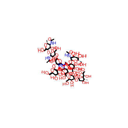 CC(=O)NC1C(O)[C@H](O)[C@H](CO)O[C@H]1OC1[C@@H](OCC2O[C@@H](O[C@@H]3C(CO)O[C@@H](O[C@@H]4C(CO)O[C@@H](C)C(NC(C)=O)[C@H]4O)C(NC(C)=O)[C@H]3O)C(O)[C@@H](O[C@H]3OC(CO)[C@@H](O)C(O)C3O[C@@H]3OC(CO)[C@@H](O[C@@H]4OC(CO)[C@H](O)[C@H](O[C@]5(OC=O)C[C@@H](O)[C@@H](C)C([C@@H](O)[C@H](O)CO)O5)C4O)[C@H](O)C3NC(C)=O)[C@@H]2O)OC(CO)[C@@H](O)[C@@H]1O